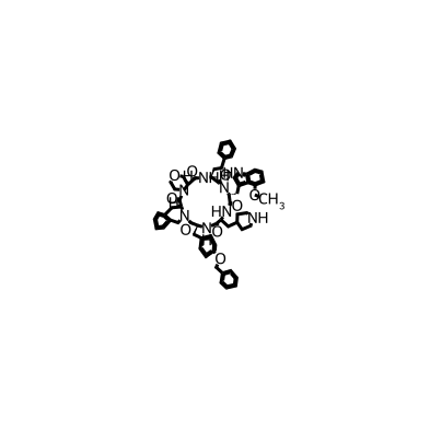 COc1cccc2[nH]cc(C[C@H]3NC(=O)[C@H](CCc4ccccc4)NC(=O)[C@@H]4COCCN4C(=O)[C@@H]4Cc5ccccc5CN4C(=O)[C@H](Cc4ccc(OCc5ccccc5)cc4)NC(=O)C(CC4CCNCC4)NC3=O)c12